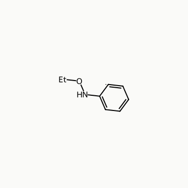 CCONc1[c]cccc1